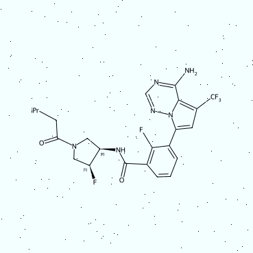 CC(C)CC(=O)N1C[C@H](F)[C@H](NC(=O)c2cccc(-c3cc(C(F)(F)F)c4c(N)ncnn34)c2F)C1